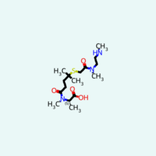 CNCCN(C)C(=O)CSC(C)(C)CCC(=O)N(C)[C@@H](C)C(=O)O